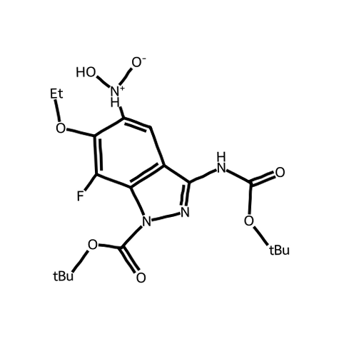 CCOc1c([NH+]([O-])O)cc2c(NC(=O)OC(C)(C)C)nn(C(=O)OC(C)(C)C)c2c1F